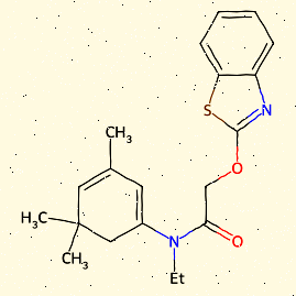 CCN(C(=O)COc1nc2ccccc2s1)C1=CC(C)=CC(C)(C)C1